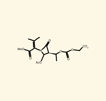 COC(=O)C(=C(C)C)N1C(=O)[C@@H](C(C)OC(=O)OCC(Cl)(Cl)Cl)C1OC(C)=O